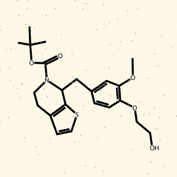 COc1cc(CC2c3sccc3CCN2C(=O)OC(C)(C)C)ccc1OCCO